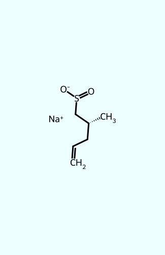 C=CC[C@@H](C)CS(=O)[O-].[Na+]